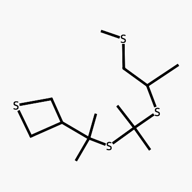 CSCC(C)SC(C)(C)SC(C)(C)C1CSC1